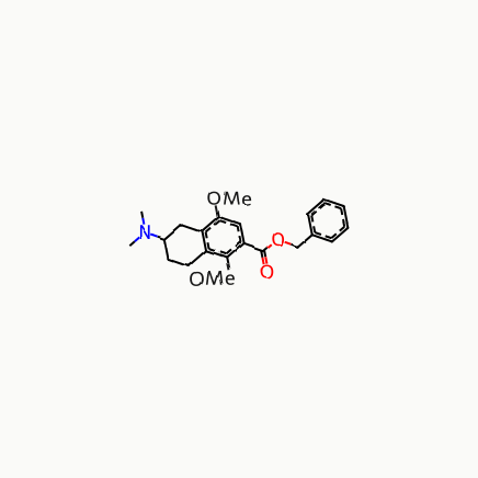 COc1cc(C(=O)OCc2ccccc2)c(OC)c2c1CC(N(C)C)CC2